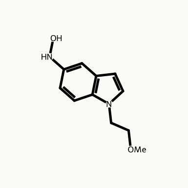 COCCn1ccc2cc(NO)ccc21